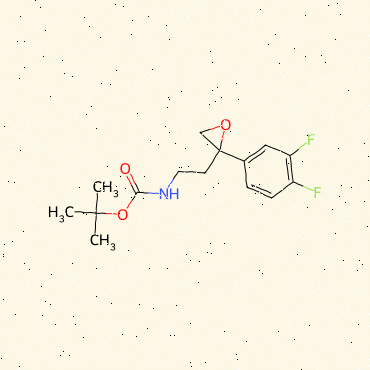 CC(C)(C)OC(=O)NCCC1(c2ccc(F)c(F)c2)CO1